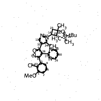 COc1cccc(-c2noc(-c3cnn(C4CC(C)(O[Si](C)(C)C(C)(C)C)C4)c3C)c2-c2ncccn2)c1Cl